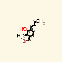 C=CCCC1CC/C(=C/Br)C(=C)C1O